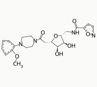 COc1ccccc1N1CCN(C(=O)C[C@@H]2O[C@H](CNC(=O)c3ccno3)[C@@H](O)[C@H]2O)CC1